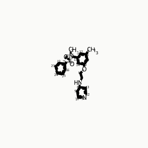 Cc1cc(OCCNc2ccncc2)cc(N(C)S(=O)(=O)c2ccccc2)c1